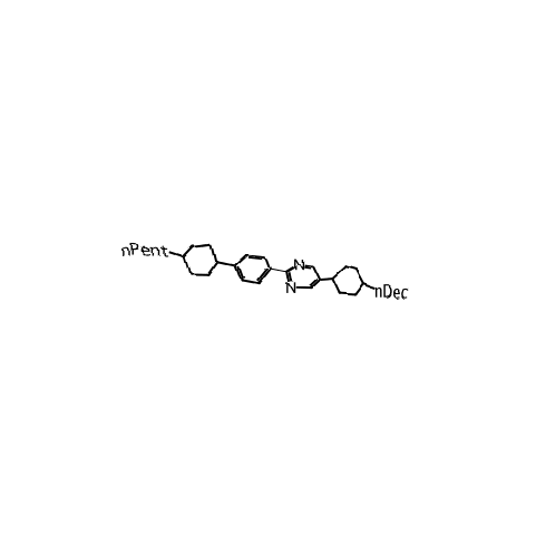 CCCCCCCCCCC1CCC(c2cnc(-c3ccc(C4CCC(CCCCC)CC4)cc3)nc2)CC1